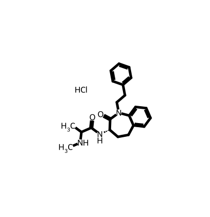 CNC(C)C(=O)N[C@H]1CCc2ccccc2N(CCc2ccccc2)C1=O.Cl